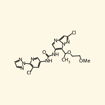 COCCOC(C)c1c(NC(=O)Nc2cnc(-n3nccn3)c(Cl)c2)cnc2cc(Cl)nn12